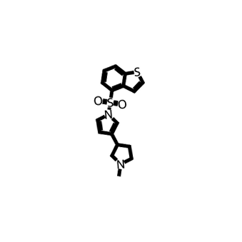 CN1CCC(c2ccn(S(=O)(=O)c3cccc4sccc34)c2)C1